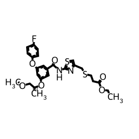 CCOC(=O)CCSCc1csc(NC(=O)c2cc(Oc3ccc(F)cc3)cc(O[C@@H](C)COC)c2)n1